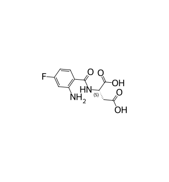 Nc1cc(F)ccc1C(=O)N[C@@H](CC(=O)O)C(=O)O